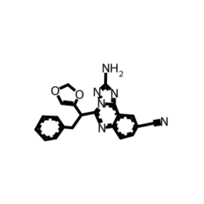 N#Cc1ccc2nc(C(Cc3ccccc3)C3=COCO3)n3nc(N)nc3c2c1